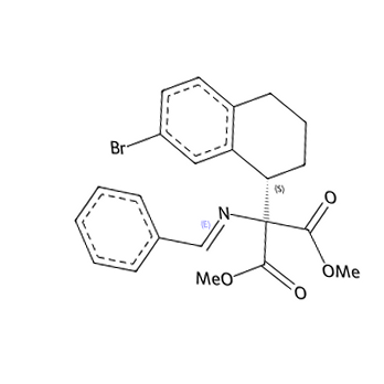 COC(=O)C(/N=C/c1ccccc1)(C(=O)OC)[C@H]1CCCc2ccc(Br)cc21